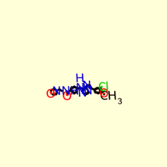 COc1ccc(-c2cnc3c(Nc4ccc(C(=O)NCCN5CCOCC5)cc4)nccn23)cc1Cl